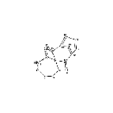 O=C1NCCCCC12C(=O)c1cccc(c1)C2=O